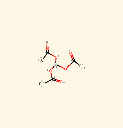 O=C(OB(OC(=O)C(F)(F)F)OC(=O)C(F)(F)F)C(F)(F)F